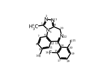 Cc1nnc2n1-c1ccc(I)cc1C(c1c(F)cccc1F)=NC2